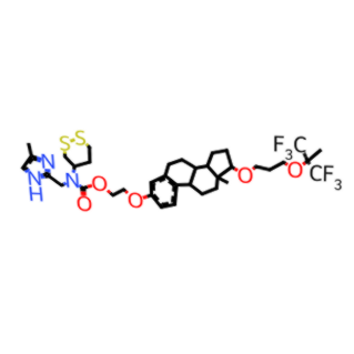 Cc1c[nH]c(CN(C(=O)OCCOc2ccc3c(c2)CCC2C3CCC3(C)C(OCCCOC(C)(C(F)(F)F)C(F)(F)F)CCC23)C2CCSSC2)n1